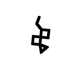 CCC1CCC12CCC21CC1